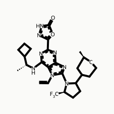 C=Cn1c(N2C(C3CCC[C@H](C)C3)CC[C@H]2C(F)(F)F)nc2nc(-c3n[nH]c(=O)o3)nc(N[C@H](C)C3CCC3)c21